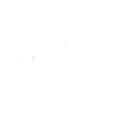 CC1C=CC=CC1(C)C(=O)OC1CC(F)(F)C1